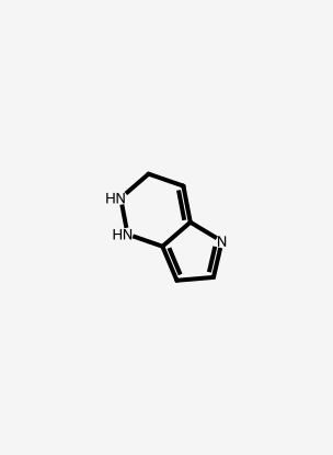 C1=NC2=CCNNC2=C1